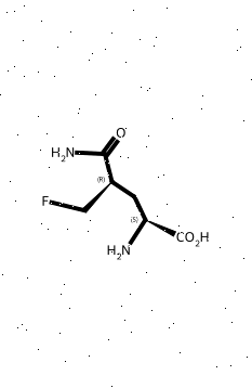 NC(=O)[C@H](CF)C[C@H](N)C(=O)O